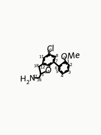 COc1ccccc1-c1cc(Cl)cc2c1OC(CN)C2